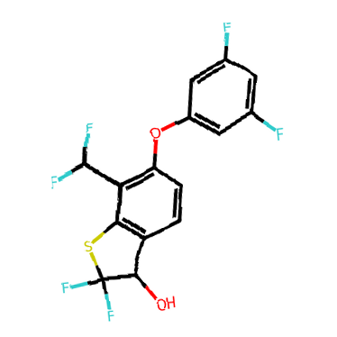 OC1c2ccc(Oc3cc(F)cc(F)c3)c(C(F)F)c2SC1(F)F